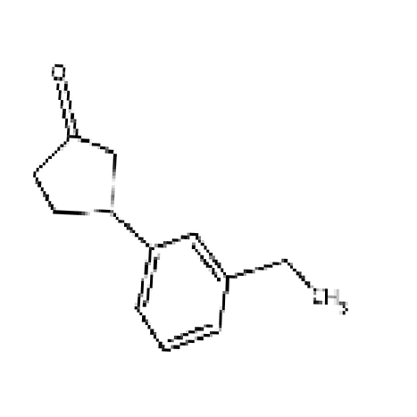 CCc1cccc(C2CCC(=O)C2)c1